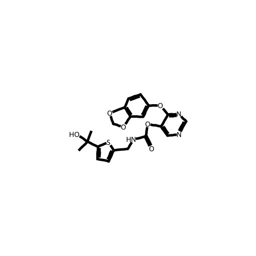 CC(C)(O)c1ccc(CNC(=O)Oc2cncnc2Oc2ccc3c(c2)OCO3)s1